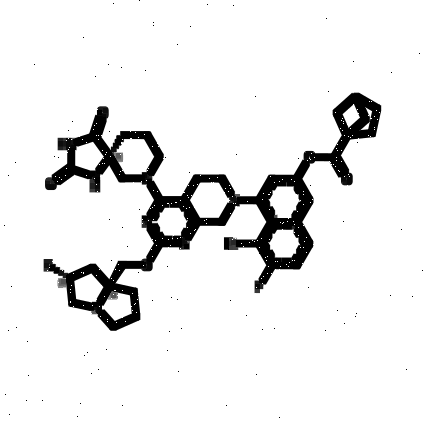 CCc1c(F)ccc2cc(OC(=O)C34CCC(C3)C4)cc(N3CCc4c(nc(OC[C@@]56CCCN5C[C@H](F)C6)nc4N4CCC[C@]5(C4)NC(=O)NC5=O)C3)c12